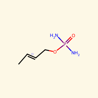 C/C=C/COP(N)(N)=O